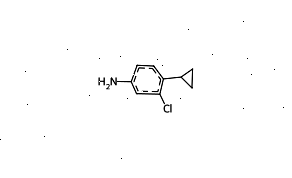 Nc1ccc(C2CC2)c(Cl)c1